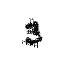 Cc1c(OCC[C@@H]2CCN(CC(=O)Nc3ccc4c(C5CCC(=O)NC5=O)nn(C)c4c3)C2)cccc1-c1ccc(N2CCc3cccc(C(=O)Nc4nc5ccccc5s4)c3C2)nc1C(=O)OC(C)(C)C